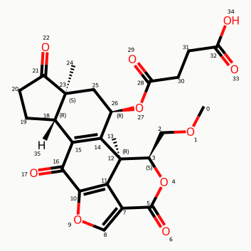 COC[C@H]1OC(=O)c2coc3c2[C@@]1(C)C1=C(C3=O)[C@@H]2CCC(=O)[C@@]2(C)C[C@H]1OC(=O)CCC(=O)O